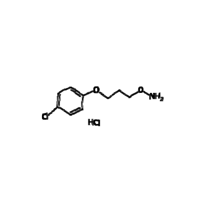 Cl.NOCCCOc1ccc(Cl)cc1